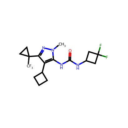 Cn1nc(C2(C(F)(F)F)CC2)c(C2CCC2)c1NC(=O)NC1CC(F)(F)C1